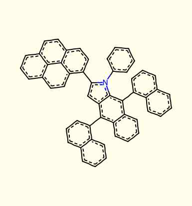 c1ccc(-n2c(-c3ccc4ccc5cccc6ccc3c4c56)cc3c(-c4cccc5ccccc45)c4ccccc4c(-c4cccc5ccccc45)c32)cc1